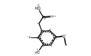 COc1cc(O)c(F)c(CC(=O)O)c1